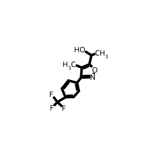 Cc1c(-c2ccc(C(F)(F)F)cc2)noc1C(C)O